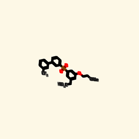 COCCOc1cc(CC(=O)O)cc(S(=O)(=O)c2cccc(-c3cccc(C(F)(F)F)c3)c2)c1